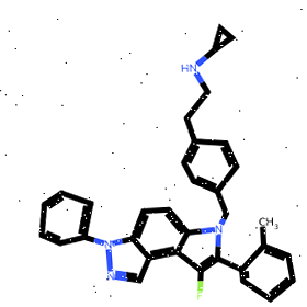 Cc1ccccc1-c1c(F)c2c3cnn(-c4ccccc4)c3ccc2n1Cc1ccc(CCNC2CC2)cc1